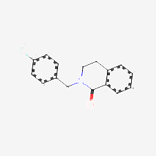 O=C1c2ccccc2CCN1Cc1ccc(F)cc1